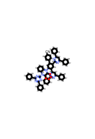 N#Cc1ccc(-c2cc(N3c4ccccc4N(c4nc(-c5ccccc5)nc(-c5ccccc5)n4)c4ccccc43)c(-c3cc(-c4ccccc4)nc(-c4ccccc4)n3)cc2-c2nc(-c3ccccc3)cc(-c3ccccc3)n2)cc1